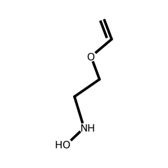 C=COCCNO